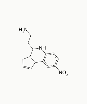 NCCC1Nc2ccc([N+](=O)[O-])cc2C2C=CCC12